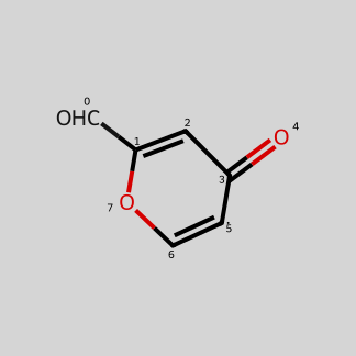 O=Cc1cc(=O)[c]co1